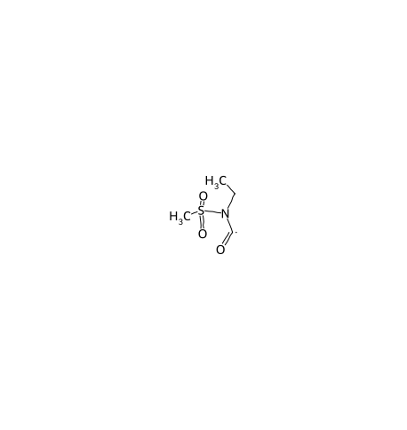 CCN([C]=O)S(C)(=O)=O